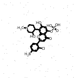 Bc1ccc(-c2cc(=O)c3c(OP(=O)(O)O)cc(O)c(C4CCN(C)CC4O)c3o2)c(Cl)c1